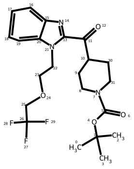 CC(C)(C)OC(=O)N1CCC(C(=O)c2nc3ccccc3n2CCOCC(F)(F)F)CC1